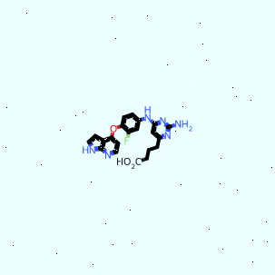 Nc1nc(CCCC(=O)O)cc(Nc2ccc(Oc3ccnc4[nH]ccc34)c(F)c2)n1